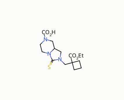 CCOC(=O)C1(CN2CC3CN(C(=O)O)CCN3C2=S)CCC1